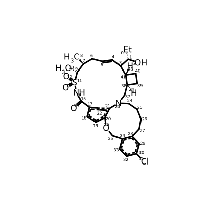 CC[C@H](O)C1/C=C/C[C@H](C)[C@@H](C)S(=O)(=O)NC(=O)c2ccc3c(c2)N(CCCCc2cc(Cl)ccc2CO3)C[C@@H]2CC[C@@H]12